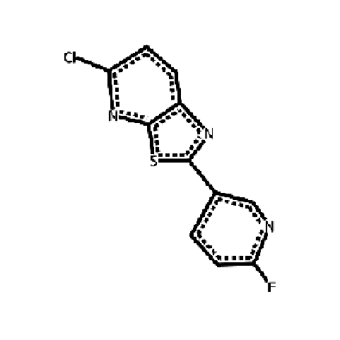 Fc1ccc(-c2nc3ccc(Cl)nc3s2)cn1